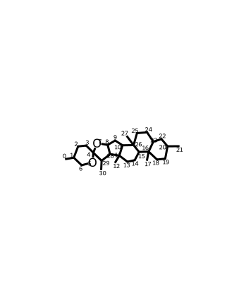 CC1CCC2(OC1)OC1CC3C(C)(CCC4C5(C)CCC(C)CC5CCC43C)C1C2C